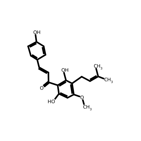 COc1cc(O)c(C(=O)C=Cc2ccc(O)cc2)c(O)c1CC=C(C)C